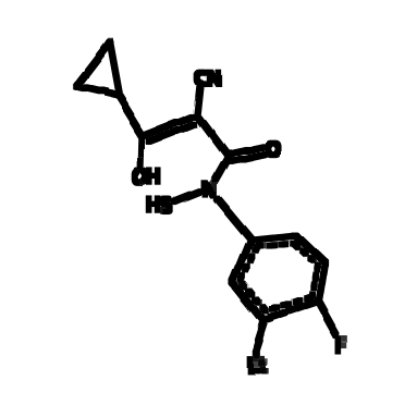 CCc1cc(N(S)C(=O)C(C#N)=C(O)C2CC2)ccc1F